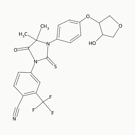 CC1(C)C(=O)N(c2ccc(C#N)c(C(F)(F)F)c2)C(=S)N1c1ccc(OC2COCC2O)cc1